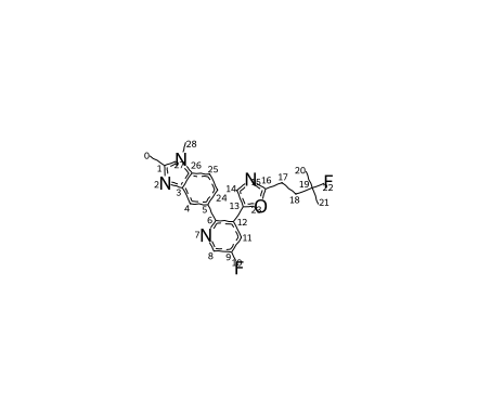 Cc1nc2cc(-c3ncc(F)cc3-c3cnc(CCC(C)(C)F)o3)ccc2n1C